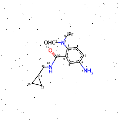 CC(C)N(C=O)c1ccc(N)cc1C(=O)NCC1CC1